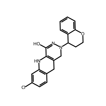 OC1=NN(C2CCOc3ccccc32)CC2=C1Nc1cc(Cl)ccc1C2